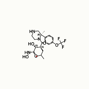 CC(C)C[C@H](C(=O)N1CCNC[C@@]1(C)c1ccc(OC(F)(F)F)cc1)[C@H](O)C(=O)NO